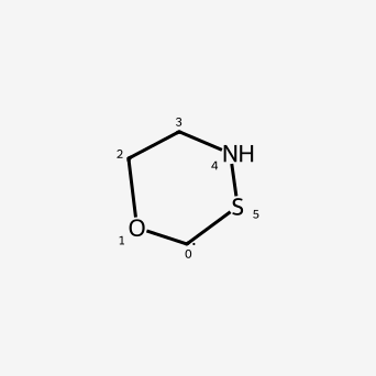 [CH]1OCCNS1